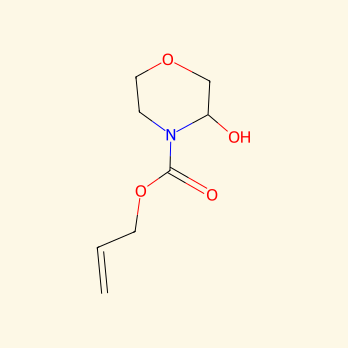 C=CCOC(=O)N1CCOCC1O